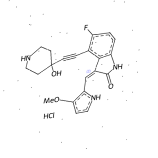 COc1cc[nH]c1/C=C1\C(=O)Nc2ccc(F)c(C#CC3(O)CCNCC3)c21.Cl